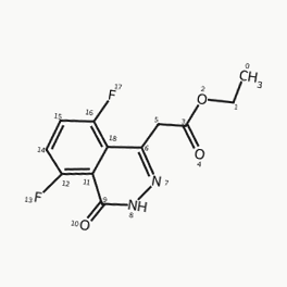 CCOC(=O)Cc1n[nH]c(=O)c2c(F)ccc(F)c12